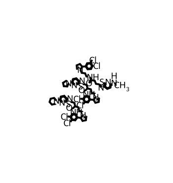 CNc1ccc2nc(CCC(=O)NCCCN3CCCC3c3ccc(Cl)c(Cl)c3)sc2n1.NC(=O)C(CCCN1CCCC1c1ccc(Cl)c(Cl)c1)Cc1nc2ccc(N3CCCC3)nc2s1.NC(=O)C(CCCN1CCCC1c1ccc(Cl)c(Cl)c1)Cc1nc2ccc(N3CCCCC3)nc2s1